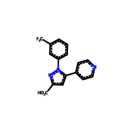 O=C(O)c1cc(-c2ccncc2)n(-c2cccc(C(F)(F)F)c2)n1